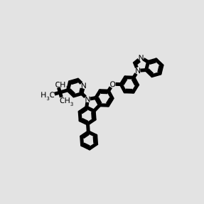 CC(C)(C)c1ccnc(-n2c3ccc(-c4ccccc4)cc3c3ccc(Oc4cccc(-n5cnc6ccccc65)c4)cc32)c1